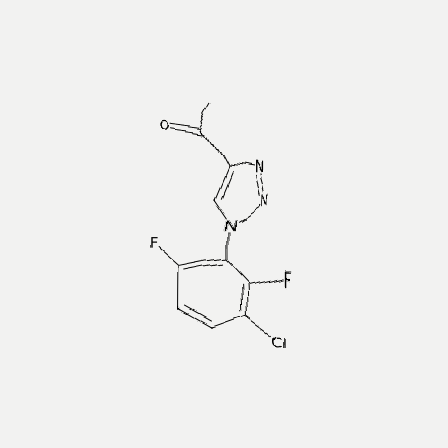 CC(=O)c1cn(-c2c(F)ccc(Cl)c2F)nn1